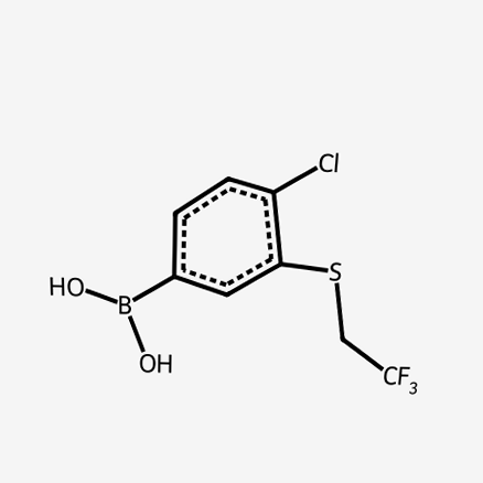 OB(O)c1ccc(Cl)c(SCC(F)(F)F)c1